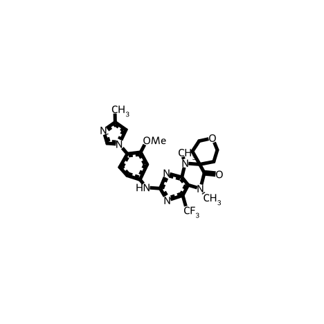 COc1cc(Nc2nc3c(c(C(F)(F)F)n2)N(C)C(=O)C2(CCOCC2)N3C)ccc1-n1cnc(C)c1